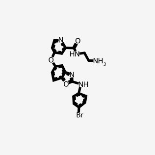 NCCNC(=O)c1cc(Oc2ccc3oc(Nc4ccc(Br)cc4)nc3c2)ccn1